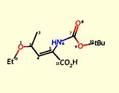 CCOC(C)C=C(NC(=O)OC(C)(C)C)C(=O)O